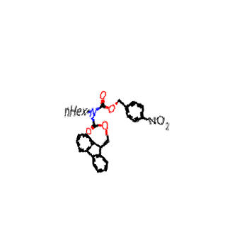 [CH2]CCCCCN(C(=O)OCc1ccc([N+](=O)[O-])cc1)C(=O)OCC1c2ccccc2-c2ccccc21